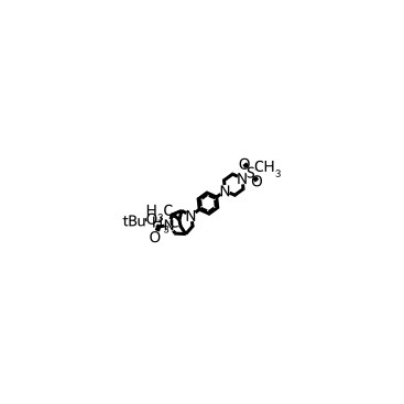 CC(C)(C)OC(=O)N1CC2CN(c3ccc(N4CCN(S(C)(=O)=O)CC4)cc3)C(C1)C(C)(C)C2